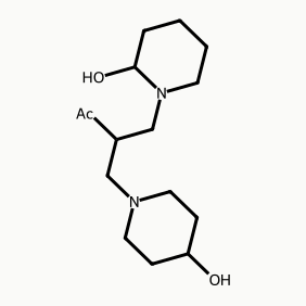 CC(=O)C(CN1CCC(O)CC1)CN1CCCCC1O